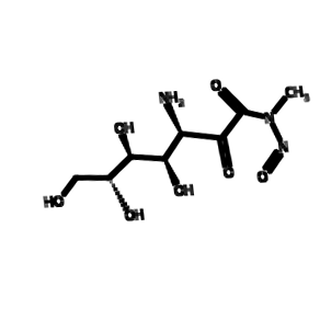 CN(N=O)C(=O)C(=O)[C@H](N)[C@@H](O)[C@H](O)[C@H](O)CO